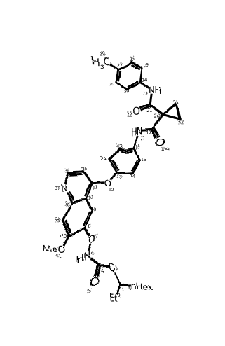 CCCCCCC(CC)OC(=O)NOc1cc2c(Oc3ccc(NC(=O)C4(C(=O)Nc5ccc(C)cc5)CC4)cc3)ccnc2cc1OC